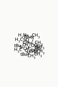 CN(CCN)C[C@@H](O[Si](C)(C)C(C)(C)C)[C@H](O[Si](C)(C)C(C)(C)C)[C@@H](O[Si](C)(C)C(C)(C)C)[C@H](CO[Si](C)(C)C(C)(C)C)O[Si](C)(C)C(C)(C)C